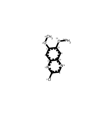 COc1cc2nc(Cl)cnc2cc1OP